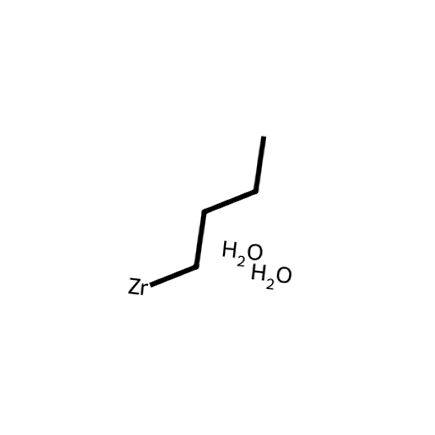 CCC[CH2][Zr].O.O